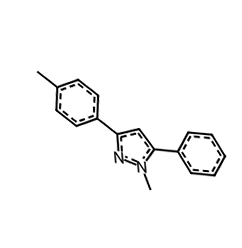 Cc1ccc(-c2cc(-c3ccccc3)n(C)n2)cc1